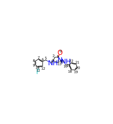 O=C1CC(NCc2cccc(F)c2)CN1NCc1ccccc1